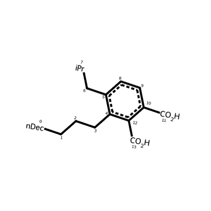 CCCCCCCCCCCCCc1c(CC(C)C)ccc(C(=O)O)c1C(=O)O